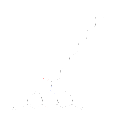 CCCCCCCCCCCCCCCCCCCC(=O)N1c2ccc(OC(C)=O)cc2Oc2cc(OC(C)=O)ccc21